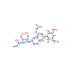 C=CC(=O)N[C@H]1CCOC[C@H]1Nc1ncc2cc(-c3c(F)c(OC)cc(OC)c3F)nc(CC3CC3)c2n1